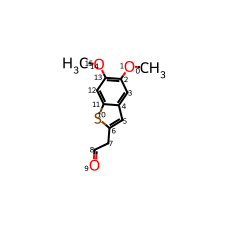 COc1cc2cc(CC=O)sc2cc1OC